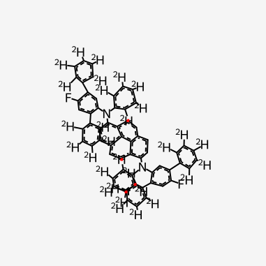 [2H]c1c([2H])c([2H])c(-c2cc(N(c3c([2H])c([2H])c([2H])c([2H])c3[2H])c3ccc4ccc5c(N(c6cc(-c7c([2H])c([2H])c([2H])c([2H])c7[2H])c(F)cc6-c6c([2H])c([2H])c([2H])c([2H])c6[2H])c6c([2H])c([2H])c([2H])c([2H])c6[2H])ccc6ccc3c4c65)c(-c3c([2H])c([2H])c([2H])c([2H])c3[2H])cc2F)c([2H])c1[2H]